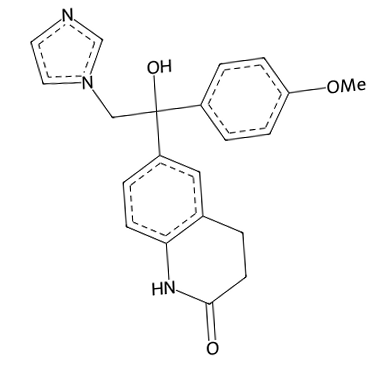 COc1ccc(C(O)(Cn2ccnc2)c2ccc3c(c2)CCC(=O)N3)cc1